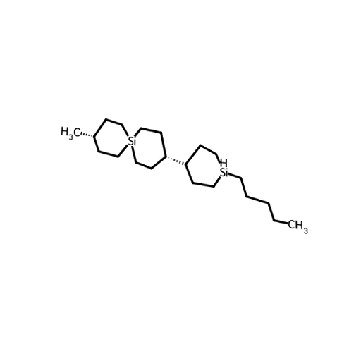 CCCCC[SiH]1CCC([C@H]2CC[Si]3(CC[C@@H](C)CC3)CC2)CC1